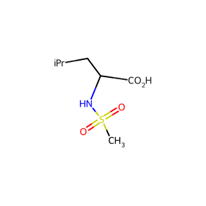 CC(C)CC(NS(C)(=O)=O)C(=O)O